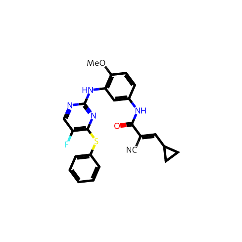 COc1ccc(NC(=O)C(C#N)=CC2CC2)cc1Nc1ncc(F)c(Sc2ccccc2)n1